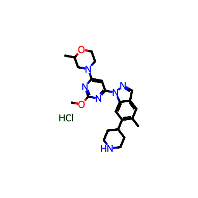 COc1nc(N2CCOC(C)C2)cc(-n2ncc3cc(C)c(C4CCNCC4)cc32)n1.Cl